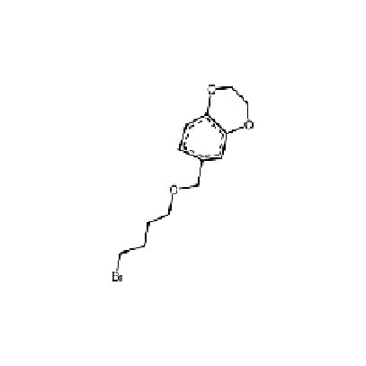 BrCCCCOCc1ccc2c(c1)OCCO2